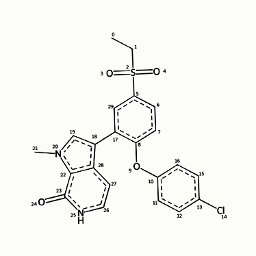 CCS(=O)(=O)c1ccc(Oc2ccc(Cl)cc2)c(-c2cn(C)c3c(=O)[nH]ccc23)c1